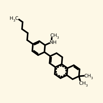 CCCCCC1=CC(NC)C(C2=Cc3ccc4c(c3CC2)C=CC(C)(C)C4)C=C1